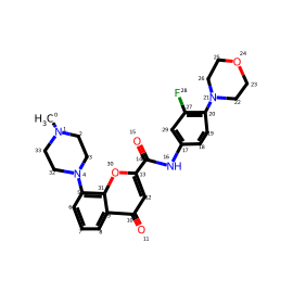 CN1CCN(c2cccc3c(=O)cc(C(=O)Nc4ccc(N5CCOCC5)c(F)c4)oc23)CC1